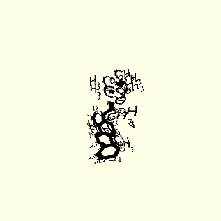 CC(C)(C)[Si](C)(C)OC[C@@H](O)[C@H]1CC[C@H]2C3=CC=C4CCCC[C@]4(C)[C@H]3CC[C@]12C